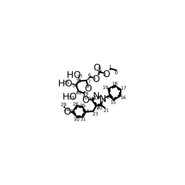 CCOC(=O)OC[C@H]1O[C@@H](Oc2nn(-c3ccccc3)c(C)c2Cc2ccc(OC)cc2)[C@H](O)[C@@H](O)[C@@H]1O